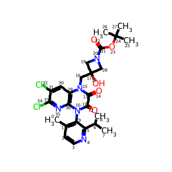 Cc1ccnc(C(C)C)c1-n1c(=O)c(=O)n(CC2(O)CN(C(=O)OC(C)(C)C)C2)c2cc(Cl)c(Cl)nc21